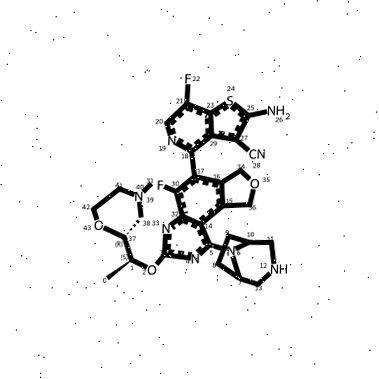 C[C@H](Oc1nc(N2C3CCC2CNC3)c2c3c(c(-c4ncc(F)c5sc(N)c(C#N)c45)c(F)c2n1)COC3)[C@H]1CN(C)CCO1